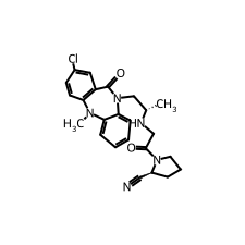 C[C@@H](CN1C(=O)c2cc(Cl)ccc2N(C)c2ccccc21)NCC(=O)N1CCC[C@H]1C#N